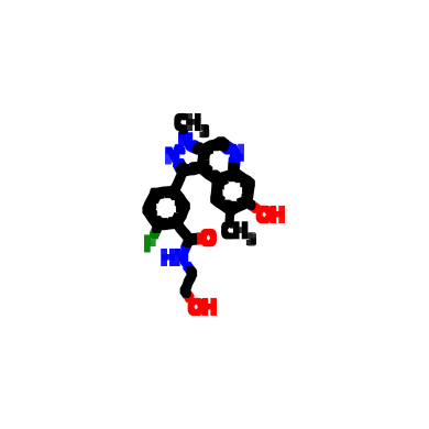 Cc1cc2c(cc1O)ncc1c2c(-c2ccc(F)c(C(=O)NCCO)c2)nn1C